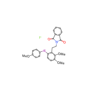 COc1ccc([I+]c2ccc(OC)c(OC)c2CCN2C(=O)c3ccccc3C2=O)cc1.[F-]